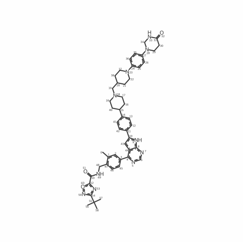 Cc1cc(-c2ncnc3[nH]c(-c4ccc(C5CCN(CC6CCN(c7ccc(N8CCC(=O)NC8)cc7)CC6)CC5)cc4)cc23)ccc1CNC(=O)c1nc(C(C)(C)C)no1